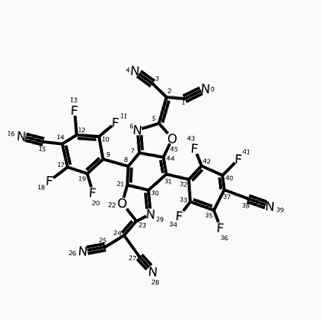 N#CC(C#N)=c1nc2c(-c3c(F)c(F)c(C#N)c(F)c3F)c3oc(=C(C#N)C#N)nc3c(-c3c(F)c(F)c(C#N)c(F)c3F)c2o1